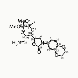 CO[C@]1(C)O[C@@H]([C@H]2CN(c3ccc4c(c3)OCCO4)C(=O)O2)[C@H](CN)O[C@@]1(C)OC